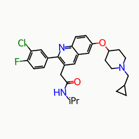 CC(C)NC(=O)Cc1cc2cc(OC3CCN(CC4CC4)CC3)ccc2nc1-c1ccc(F)c(Cl)c1